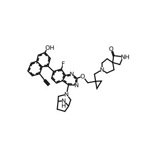 C#Cc1cccc2cc(O)cc(-c3ccc4c(N5CC6CCC(C5)N6)nc(OCC5(CN6CCC7(CC6)CNC7=O)CC5)nc4c3F)c12